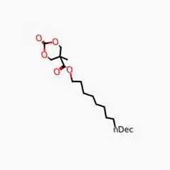 CCCCCCCCCCCCCCCCCCOC(=O)C1(C)COC(=O)OC1